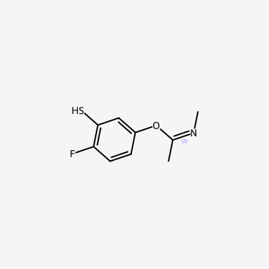 C/N=C(/C)Oc1ccc(F)c(S)c1